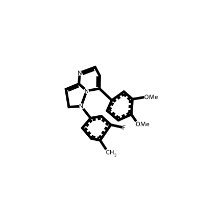 COc1ccc(C2=CC=NC3=CCN(c4ccc(C)c(F)c4)N32)cc1OC